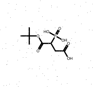 CC(C)(C)OC(=O)C(CC(=O)O)P(=O)(O)O